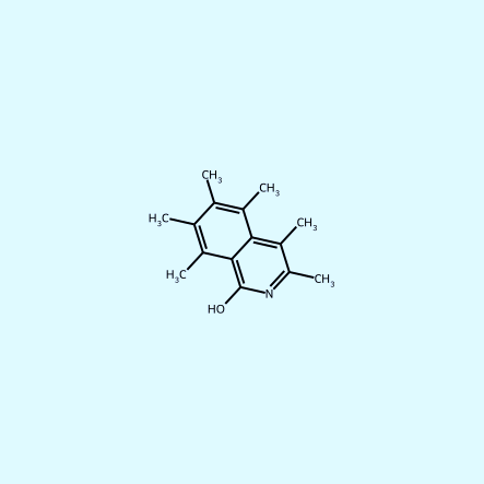 Cc1nc(O)c2c(C)c(C)c(C)c(C)c2c1C